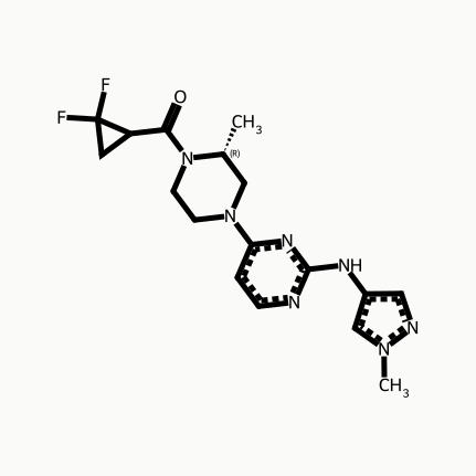 C[C@@H]1CN(c2ccnc(Nc3cnn(C)c3)n2)CCN1C(=O)C1CC1(F)F